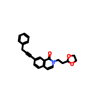 O=c1c2cc(C#CCc3ccccc3)ccc2ccn1CCC1OCCO1